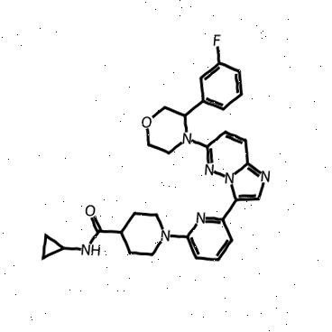 O=C(NC1CC1)C1CCN(c2cccc(-c3cnc4ccc(N5CCOCC5c5cccc(F)c5)nn34)n2)CC1